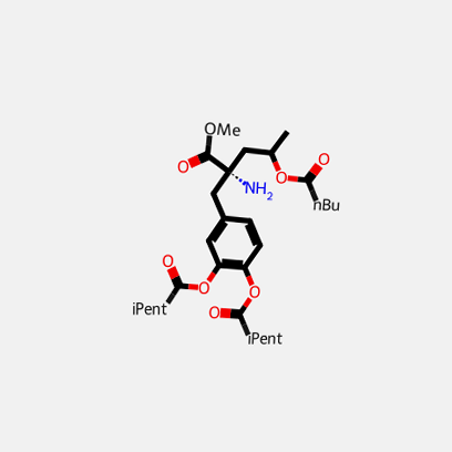 CCCCC(=O)OC(C)C[C@@](N)(Cc1ccc(OC(=O)C(C)CCC)c(OC(=O)C(C)CCC)c1)C(=O)OC